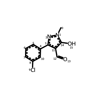 Cn1nc(-c2cccc(Cl)c2)c(C=O)c1O